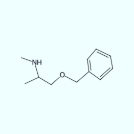 CNC(C)COCc1ccccc1